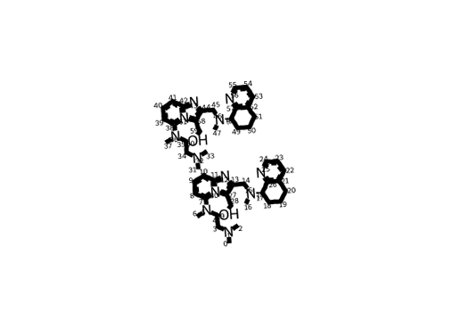 CN(C)CCN(C)c1cccc2nc(CN(C)[C@H]3CCCc4cccnc43)c(CO)n12.CN(C)CCN(C)c1cccc2nc(CN(C)[C@H]3CCCc4cccnc43)c(CO)n12